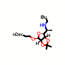 CCCCCCCCCCCCO[C@H]1O[C@H]([C@H](C)NCC(C)CC)[C@@H]2OC(C)(C)O[C@H]12